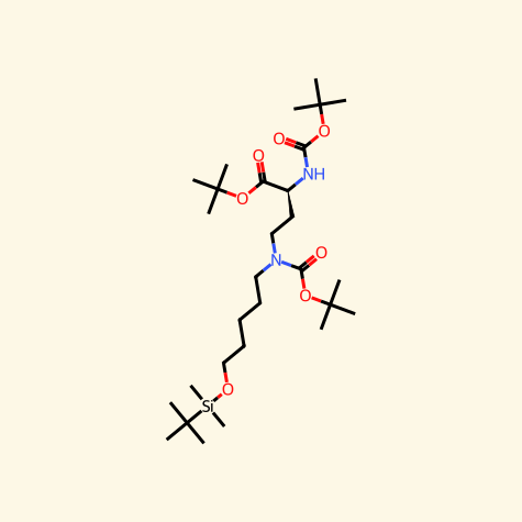 CC(C)(C)OC(=O)N[C@@H](CCN(CCCCCO[Si](C)(C)C(C)(C)C)C(=O)OC(C)(C)C)C(=O)OC(C)(C)C